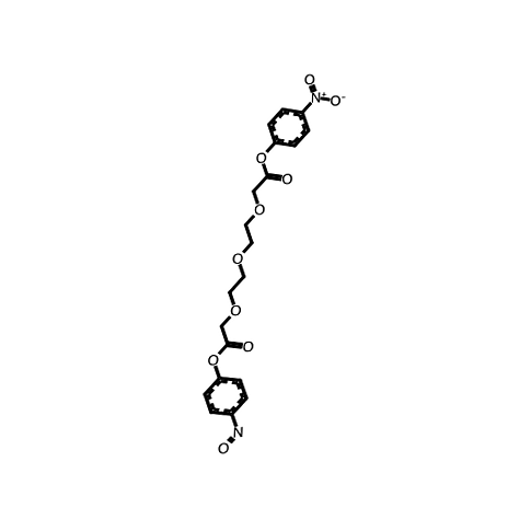 O=Nc1ccc(OC(=O)COCCOCCOCC(=O)Oc2ccc([N+](=O)[O-])cc2)cc1